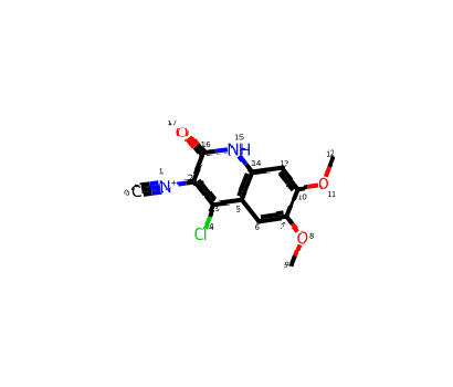 [C-]#[N+]c1c(Cl)c2cc(OC)c(OC)cc2[nH]c1=O